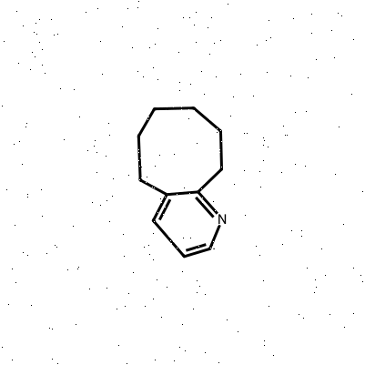 [c]1ccc2c(n1)CCCCCC2